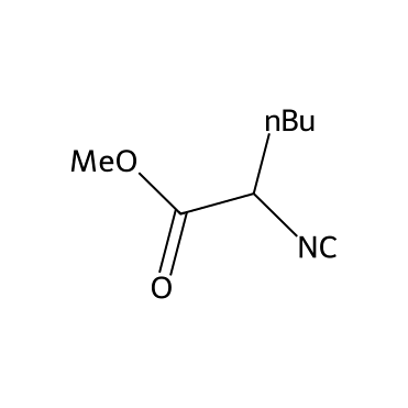 [C-]#[N+]C(CCCC)C(=O)OC